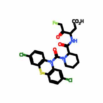 O=C(O)CC(NC(=O)C1CCCCN1C(=O)N1c2ccc(Cl)cc2Sc2ccc(Cl)cc21)C(=O)CF